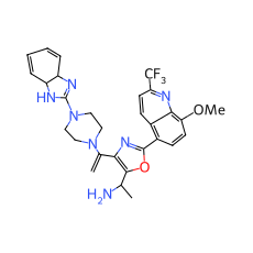 C=C(c1nc(-c2ccc(OC)c3nc(C(F)(F)F)ccc23)oc1C(C)N)N1CCN(C2=NC3C=CC=CC3N2)CC1